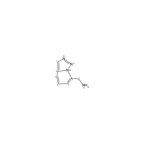 NCc1cccc2cnnn12